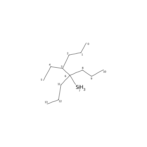 CCCC(CC)C([SiH3])(CCC)CCC